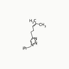 CC(C)=CCCc1cn(CC(C)C)nn1